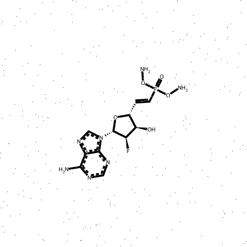 NOP(=O)(/C=C/[C@H]1O[C@@H](n2cnc3c(N)ncnc32)[C@H](F)[C@@H]1O)ON